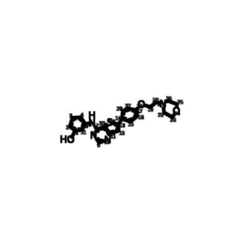 Oc1cccc(Nc2ncnc3cc(-c4ccc(OCCN5CCOCC5)cc4)sc23)c1